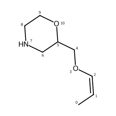 C/C=C\OCC1CNCCO1